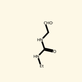 CCNC(=O)NC[C]=O